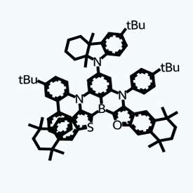 CC(C)(C)c1ccc(N2c3cc(N4c5ccc(C(C)(C)C)cc5C5(C)CCCCC45C)cc4c3B(c3oc5cc6c(cc5c32)C(C)(C)CCC6(C)C)c2sc3cc5c(cc3c2N4c2ccc(C(C)(C)C)cc2-c2ccccc2)C(C)(C)CCC5(C)C)cc1